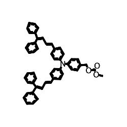 COC(=O)OCc1ccc(N(c2ccc(/C=C/C=C(c3ccccc3)c3ccccc3)cc2)c2ccc(/C=C/C=C(c3ccccc3)c3ccccc3)cc2)cc1